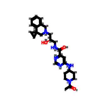 CC(=O)N1CCC(Nc2cc(C(=O)NC[C@H](O)CN3Cc4ccccc4C4(CC4)C3)ncn2)CC1